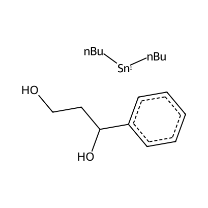 CCC[CH2][Sn][CH2]CCC.OCCC(O)c1ccccc1